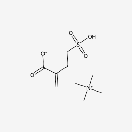 C=C(CCS(=O)(=O)O)C(=O)[O-].C[N+](C)(C)C